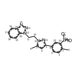 Cc1ccc(-c2cc(C)n(CCn3nnc4ccccc43)n2)cc1[N+](=O)[O-]